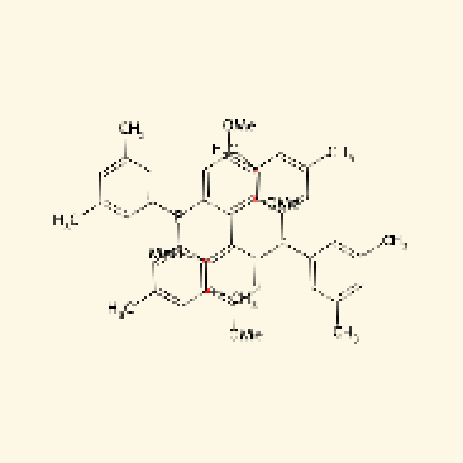 COc1cc(OC)c(-c2c(OC)cc(OC)cc2P(c2cc(C)cc(C)c2)c2cc(C)cc(C)c2)c(P(c2cc(C)cc(C)c2)c2cc(C)cc(C)c2)c1